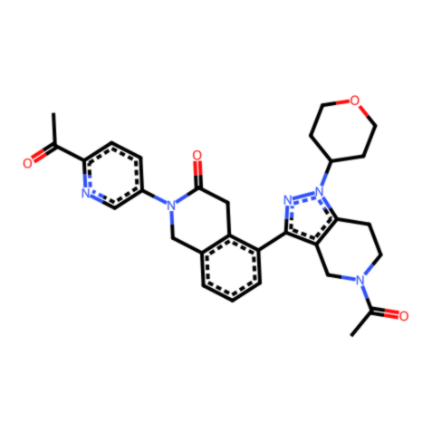 CC(=O)c1ccc(N2Cc3cccc(-c4nn(C5CCOCC5)c5c4CN(C(C)=O)CC5)c3CC2=O)cn1